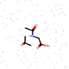 CC(=O)NCC(=O)O.CC(C)=O